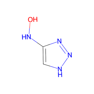 ONc1c[nH]nn1